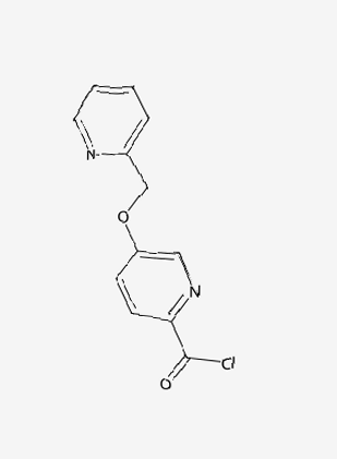 O=C(Cl)c1ccc(OCc2ccccn2)cn1